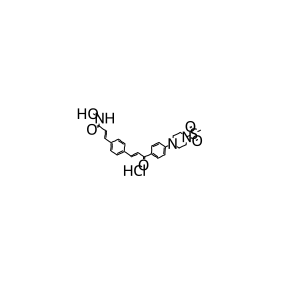 CS(=O)(=O)N1CCN(c2ccc(C(=O)C=Cc3ccc(C=CC(=O)NO)cc3)cc2)CC1.Cl